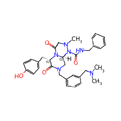 CN(C)Cc1cccc(CN2C[C@H]3N(C(=O)CN(C)N3C(=O)NCc3ccccc3)[C@@H](Cc3ccc(O)cc3)C2=O)c1